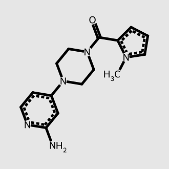 Cn1cccc1C(=O)N1CCN(c2ccnc(N)c2)CC1